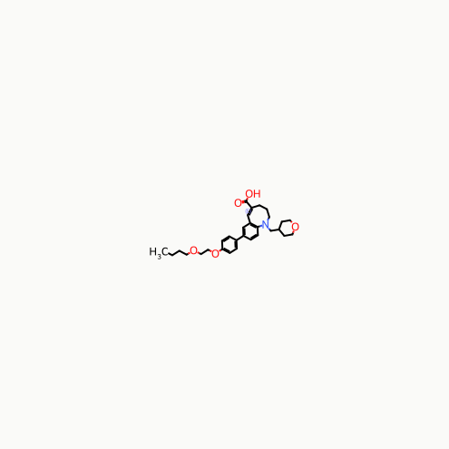 CCCCOCCOc1ccc(-c2ccc3c(c2)/C=C(/C(=O)O)CCCN3CC2CCOCC2)cc1